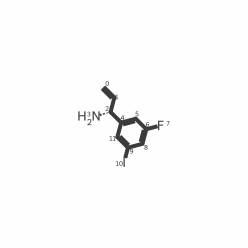 C=C[C@@H](N)c1cc(F)cc(I)c1